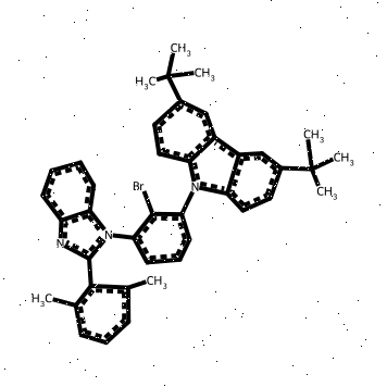 Cc1cccc(C)c1-c1nc2ccccc2n1-c1cccc(-n2c3ccc(C(C)(C)C)cc3c3cc(C(C)(C)C)ccc32)c1Br